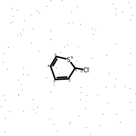 ClC1C=CC=CS1